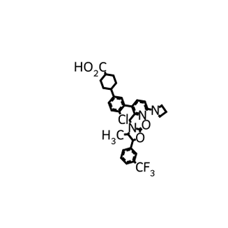 CC1C(c2cccc(C(F)(F)F)c2)OC(=O)N1Cc1nc(N2CCC2)ccc1-c1cc(C2CCC(C(=O)O)CC2)ccc1Cl